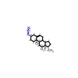 C[C@H]1CCC2C3CC=C4C[C@H](N=[N+]=[N-])CC[C@]4(C)C3CC[C@@]21C